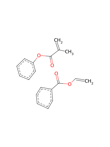 C=C(C)C(=O)Oc1ccccc1.C=COC(=O)c1ccccc1